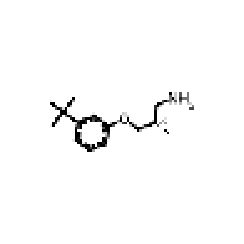 C[C@@H](CN)COc1cccc(C(C)(C)C)c1